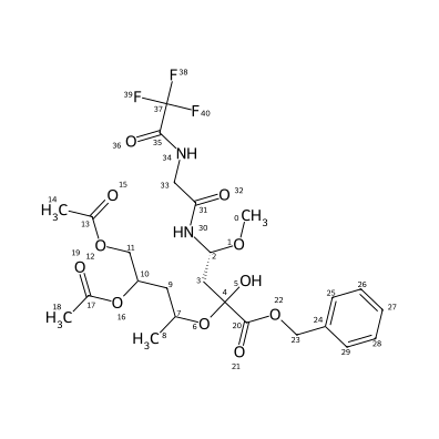 CO[C@H](CC(O)(OC(C)CC(COC(C)=O)OC(C)=O)C(=O)OCc1ccccc1)NC(=O)CNC(=O)C(F)(F)F